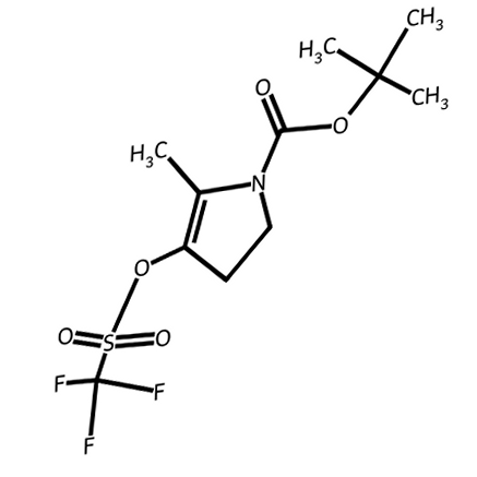 CC1=C(OS(=O)(=O)C(F)(F)F)CCN1C(=O)OC(C)(C)C